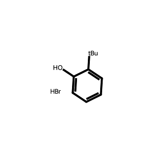 Br.CC(C)(C)c1ccccc1O